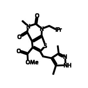 COC(=O)c1c(Cc2c(C)n[nH]c2C)sc2c1c(=O)n(C)c(=O)n2CC(C)C